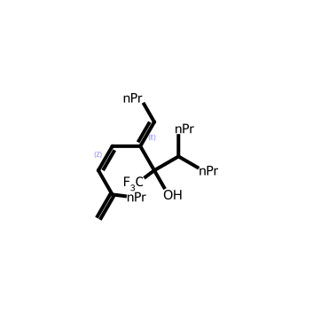 C=C(/C=C\C(=C/CCC)C(O)(C(CCC)CCC)C(F)(F)F)CCC